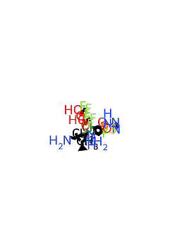 CC(C)(CCN)CC(CNc1cc(F)c(S(=O)(=O)Nc2ncns2)cc1Cl)C(N)CC1CC1.O=C(O)C(F)(F)F.O=C(O)C(F)(F)F